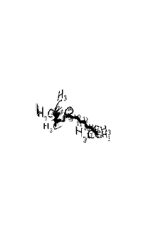 CC(C)CCN(C)C(=O)CCCCCCC(C)(C)C